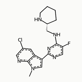 Cn1cc(-c2ncc(F)c(NC[C@H]3CCCCN3)n2)c2cc(Cl)cnc21